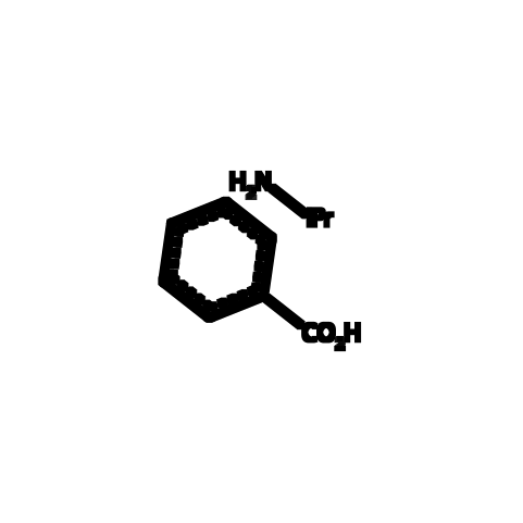 CC(C)N.O=C(O)c1ccccc1